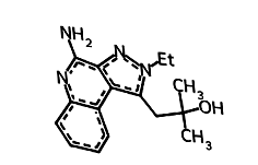 CCn1nc2c(N)nc3ccccc3c2c1CC(C)(C)O